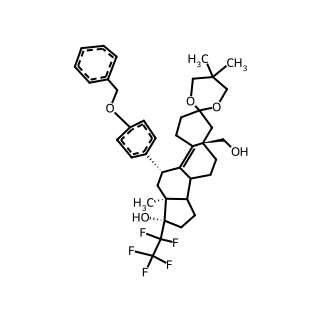 CC1(C)COC2(CCC3=C4C(CC[C@@]3(CO)C2)C2CC[C@@](O)(C(F)(F)C(F)(F)F)[C@@]2(C)C[C@@H]4c2ccc(OCc3ccccc3)cc2)OC1